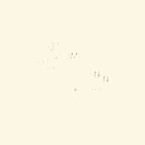 CCOP(=O)(OCC)Oc1cc2c(cc1OC)-c1nn[se]c1C(C)(C)O2